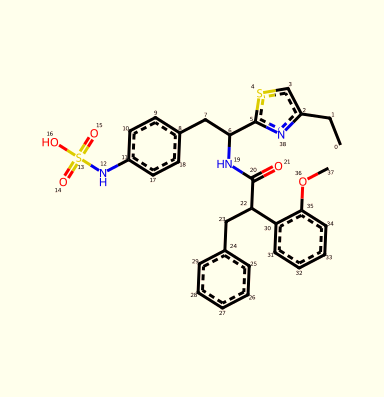 CCc1csc(C(Cc2ccc(NS(=O)(=O)O)cc2)NC(=O)C(Cc2ccccc2)c2ccccc2OC)n1